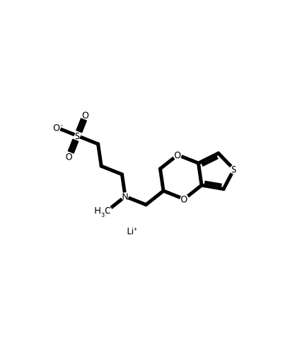 CN(CCCS(=O)(=O)[O-])CC1COc2cscc2O1.[Li+]